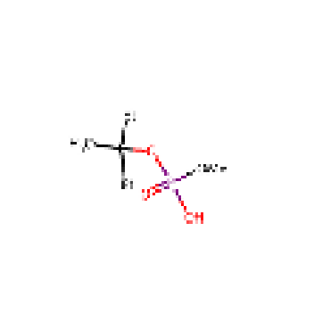 CCC(C)(CC)OP(=O)(O)OC